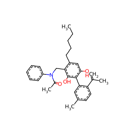 C=C(C)c1ccc(C)cc1-c1c(O)cc(CCCCC)c(CN(C(C)=O)c2ccccc2)c1O